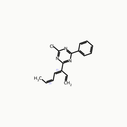 C=C/C(=C\C=C/C)c1nc(Cl)nc(-c2ccccc2)n1